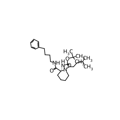 CC(C)CCCN1CCCC[C@@]1(NC(=O)OC(C)(C)C)C(=O)NCCCCc1ccccc1